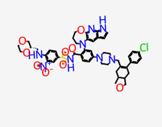 O=C(NS(=O)(=O)c1ccc(NC[C@H]2COCCO2)c([N+](=O)[O-])c1)c1ccc(N2CCN(CC3=C(c4ccc(Cl)cc4)CC4COCC4C3)CC2)cc1N1CCCOc2nc3[nH]ccc3cc21